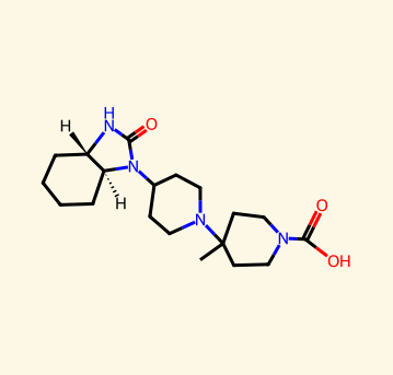 CC1(N2CCC(N3C(=O)N[C@H]4CCCC[C@@H]43)CC2)CCN(C(=O)O)CC1